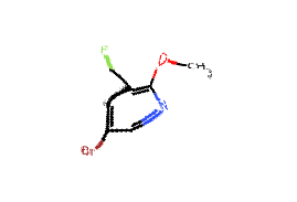 COc1ncc(Br)[c]c1F